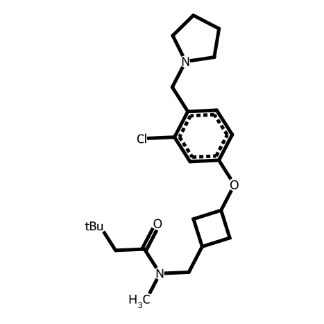 CN(CC1CC(Oc2ccc(CN3CCCC3)c(Cl)c2)C1)C(=O)CC(C)(C)C